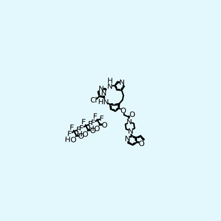 O=C(COc1ccc2cc1CCc1cncc(c1)Nc1ncc(Cl)c(n1)N2)N1CCN(c2nccc3occc23)CC1.O=C(O)C(F)(F)F.O=C(O)C(F)(F)F.O=C(O)C(F)(F)F